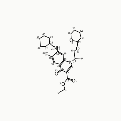 CCOC(=O)c1cn(C(C)COC2CCCCO2)c2cc(NC3CCCCC3)c(F)cc2c1=O